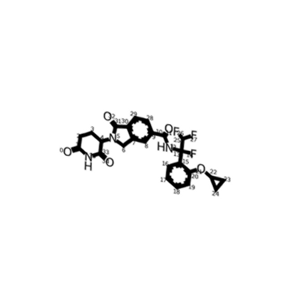 O=C1CCC(N2Cc3cc(C(=O)NC(F)(c4ccccc4OC4CC4)C(F)F)ccc3C2=O)C(=O)N1